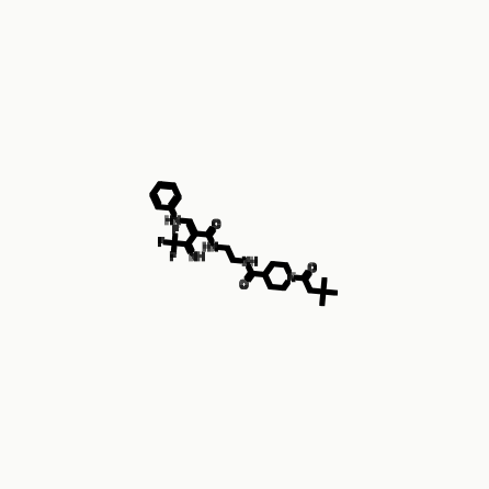 CC(C)(C)CC(=O)N1CCC(C(=O)NCCNC(=O)/C(=C/Nc2ccccc2)C(=N)C(F)(F)F)CC1